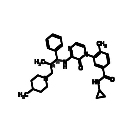 Cc1ccc(C(=O)NC2CC2)cc1-n1ccnc(N[C@@H](c2ccccc2)[C@H](C)CN2CCC(C)CC2)c1=O